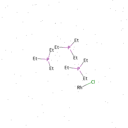 CCP(CC)CC.CCP(CC)CC.CCP(CC)CC.[Cl][Rh]